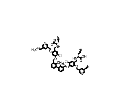 C/N=C/c1cncc(COc2cc(OCc3cccc(-c4cccc(COc5cc(OCc6cncc(C#N)c6)c(CN[C@@H](CC=N)C(=O)O)cc5Cl)c4C)c3C)c(Cl)cc2CN[C@@H](CC#N)C(=O)O)c1